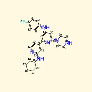 Fc1ccc(Nc2cc(-c3ccnc(NC4CCCCC4)c3)nc(N3CCNCC3)c2)cc1